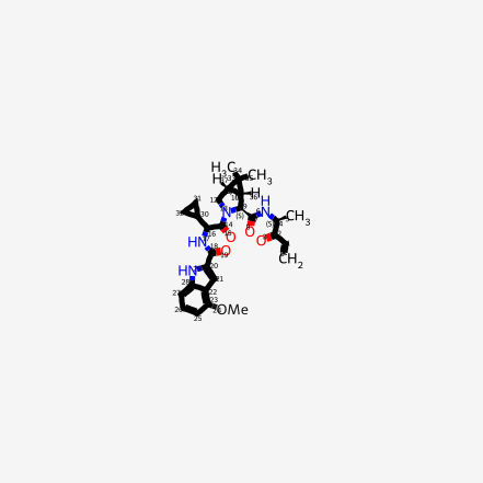 C=CC(=O)[C@H](C)NC(=O)[C@@H]1[C@@H]2[C@H](CN1C(=O)C(NC(=O)c1cc3c(OC)cccc3[nH]1)C1CC1)C2(C)C